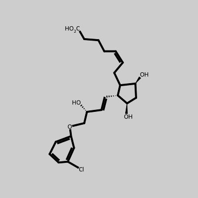 O=C(O)CCC/C=C\CC1[C@@H](/C=C/[C@@H](O)COc2cccc(Cl)c2)[C@H](O)C[C@@H]1O